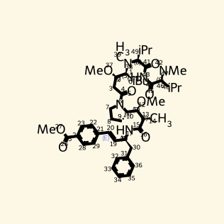 CC[C@H](C)[C@@H]([C@@H](CC(=O)N1CCC[C@H]1[C@H](OC)[C@@H](C)C(=O)N[C@H](/C=C/c1ccc(C(=O)OC)cc1)Cc1ccccc1)OC)N(C)[C@H](C(=O)NC(=O)[C@@H](NC)C(C)C)C(C)C